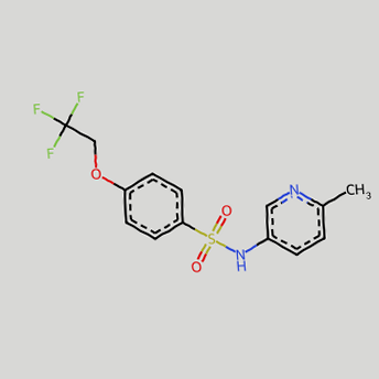 Cc1ccc(NS(=O)(=O)c2ccc(OCC(F)(F)F)cc2)cn1